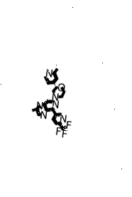 Cc1cc([C@H]2CN(c3cc4nc(C)cnc4c(-c4ccc(C(F)(F)F)nc4)n3)CCO2)ccn1